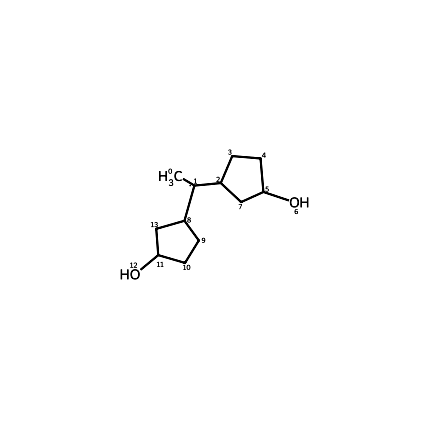 C[C](C1CCC(O)C1)C1CCC(O)C1